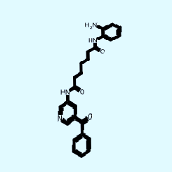 Nc1ccccc1NC(=O)CCCCCC(=O)Nc1cncc(C(=O)c2ccccc2)c1